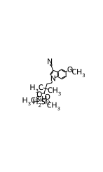 COc1ccc2c(c1)c(C#N)cn2CCC(C)(C)C(O[SiH2]C)O[SiH2]C